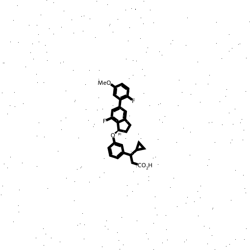 COc1ccc(F)c(-c2cc(F)c3c(c2)CC[C@H]3Oc2cccc(C(CC(=O)O)C3CC3)c2)c1